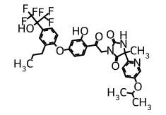 CCCc1cc(C(O)(C(F)(F)F)C(F)(F)F)ccc1Oc1ccc(C(=O)CN2C(=O)NC(C)(c3ccc(OC(C)C)cn3)C2=O)c(O)c1